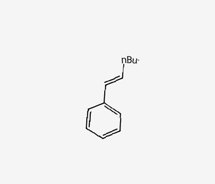 [CH2]CC[CH]/C=C/c1ccccc1